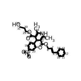 CC1=C(C(=O)OC/C=C/c2ccccc2)C(c2ccc([N+](=O)[O-])cc2)C(C(=O)OCCCO)=C(C)N1